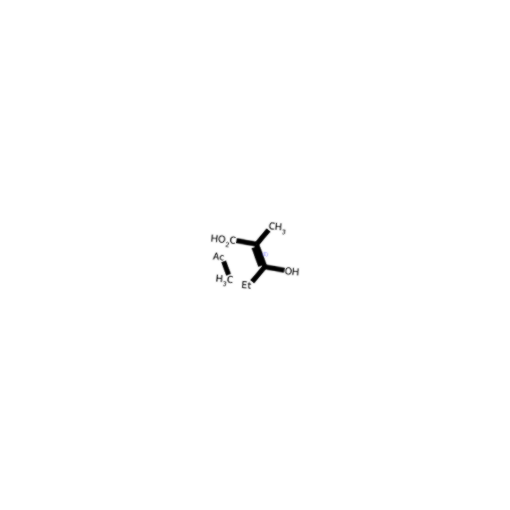 CC(C)=O.CC/C(O)=C(/C)C(=O)O